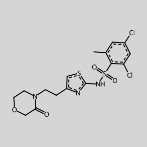 Cc1cc(Cl)cc(Cl)c1S(=O)(=O)Nc1nc(CCN2CCOCC2=O)cs1